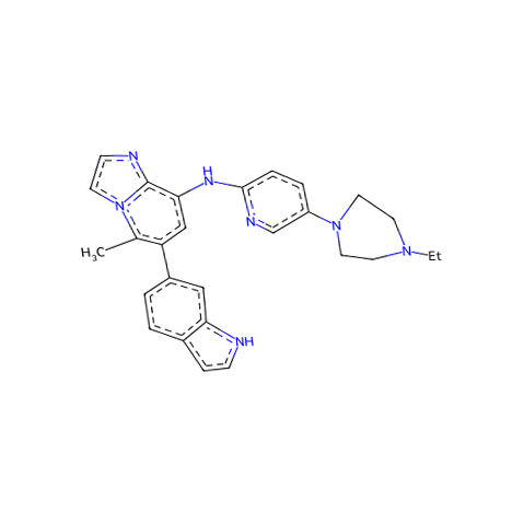 CCN1CCN(c2ccc(Nc3cc(-c4ccc5cc[nH]c5c4)c(C)n4ccnc34)nc2)CC1